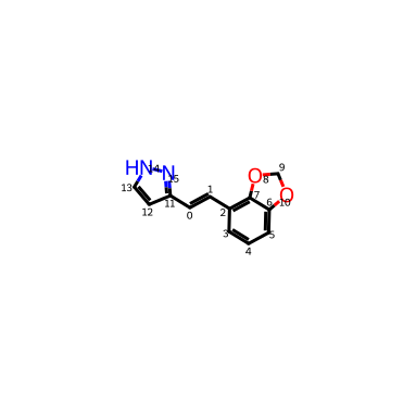 C(=C\c1cccc2c1OCO2)/c1cc[nH]n1